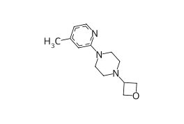 Cc1ccnc(N2CCN(C3COC3)CC2)c1